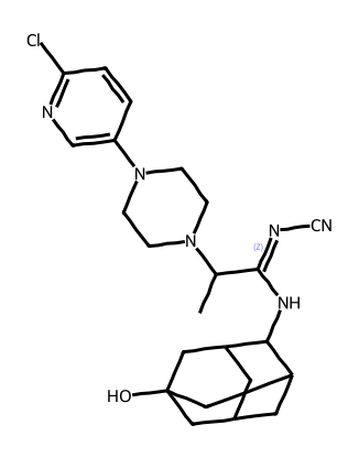 CC(/C(=N/C#N)NC1C2CC3CC1CC(O)(C3)C2)N1CCN(c2ccc(Cl)nc2)CC1